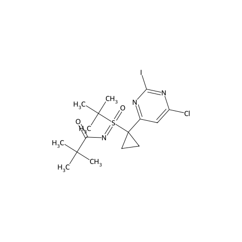 CC(C)(C)C(=O)N=S(=O)(C(C)(C)C)C1(c2cc(Cl)nc(I)n2)CC1